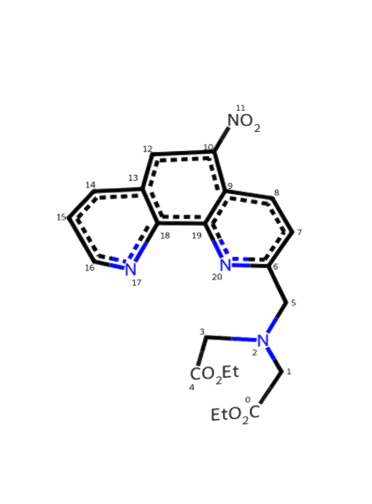 CCOC(=O)CN(CC(=O)OCC)Cc1ccc2c([N+](=O)[O-])cc3cccnc3c2n1